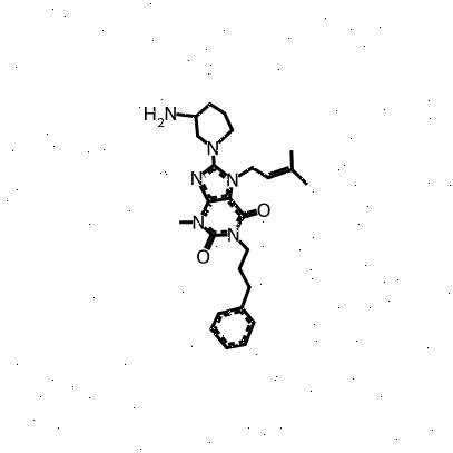 CC(C)=CCn1c(N2CCCC(N)C2)nc2c1c(=O)n(CCCc1ccccc1)c(=O)n2C